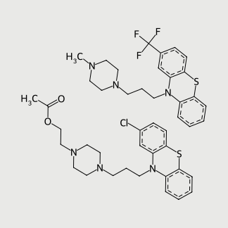 CC(=O)OCCN1CCN(CCCN2c3ccccc3Sc3ccc(Cl)cc32)CC1.CN1CCN(CCCN2c3ccccc3Sc3ccc(C(F)(F)F)cc32)CC1